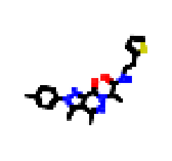 Cc1ccc(-n2nc3c(=O)n(C(C)C(=O)NCCc4cccs4)nc(C)c3c2C)cc1